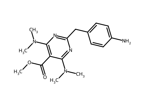 COC(=O)c1c(N(C)C)nc(Cc2ccc(N)cc2)nc1N(C)C